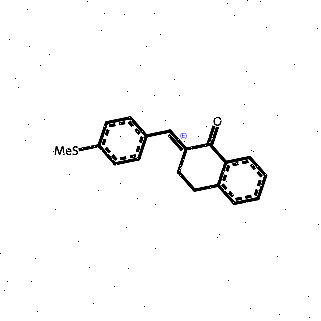 CSc1ccc(/C=C2\CCc3ccccc3C2=O)cc1